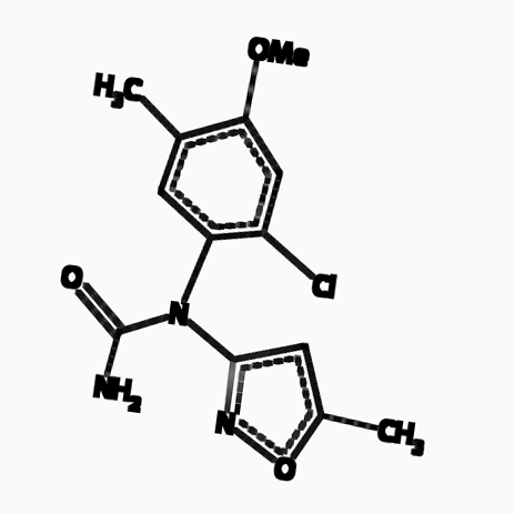 COc1cc(Cl)c(N(C(N)=O)c2cc(C)on2)cc1C